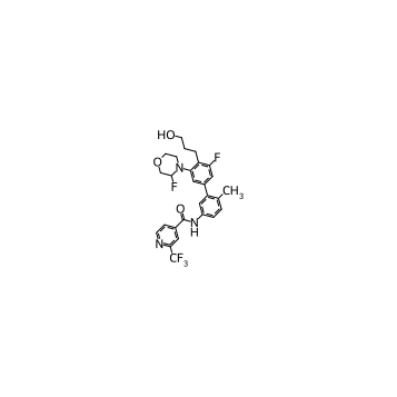 Cc1ccc(NC(=O)c2ccnc(C(F)(F)F)c2)cc1-c1cc(F)c(CCCO)c(N2CCOCC2F)c1